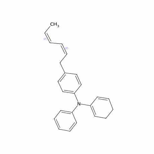 C/C=C\C=C/Cc1ccc(N(C2=CCCC=C2)c2ccccc2)cc1